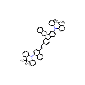 CC1(C)C2=C(C=CCC2)N(c2ccc3c(c2)C2(Cc4ccccc4C2)c2cc(/C=C/c4ccc(N5c6ccccc6C(C)(C)c6ccccc65)c5ccccc45)ccc2-3)c2ccccc21